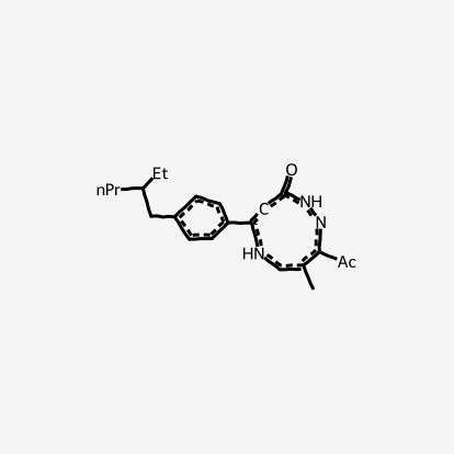 CCCC(CC)Cc1ccc(-c2cc(=O)[nH]nc(C(C)=O)c(C)c[nH]2)cc1